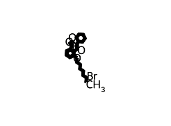 CCC(Br)CCCCCOc1cccc2c1C(=O)N(C1CCCCC1=O)C2=O